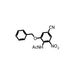 CC(=O)Nc1c(OCc2ccccc2)cc(C#N)cc1[N+](=O)[O-]